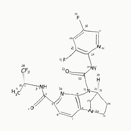 C[C@@H](NC(=O)c1ccc2c(n1)N(C(=O)Nc1ncc(F)cc1F)[C@H]1CCN2C1)C(F)(F)F